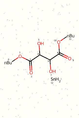 CCCCOC(=O)C(O)C(O)C(=O)OCCCC.[SnH2]